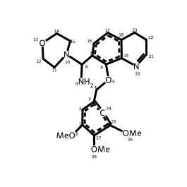 COc1cc(COc2c(C(N)N3CCOCC3)ccc3c2N=CCC3)cc(OC)c1OC